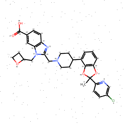 CC1(c2ccc(Cl)cn2)Oc2cccc(C3CCN(Cc4nc5ccc(C(=O)O)cc5n4CC4CCO4)CC3)c2O1